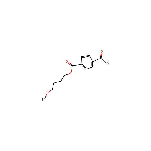 CC(C)OCCCCOC(=O)c1ccc(C(=O)C(C)C)cc1